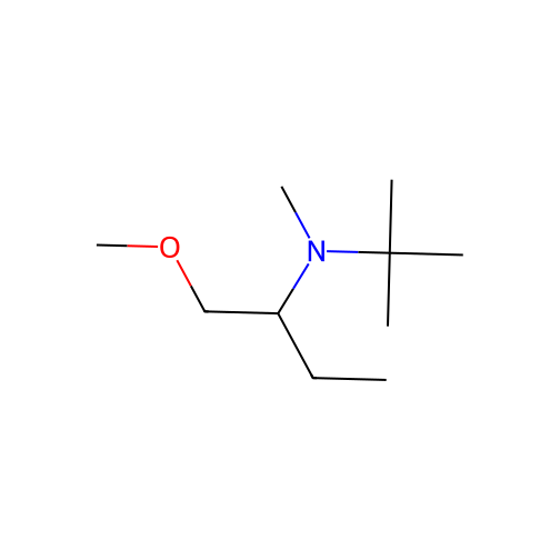 CCC(COC)N(C)C(C)(C)C